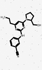 CCCc1cc(N2CCCC2CO)nc(Nc2cccc(C#N)c2)n1